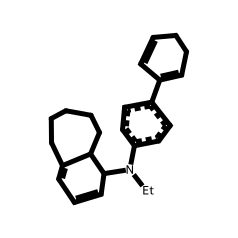 CCN(c1ccc(C2=CCCC=C2)cc1)C1C=CC=C2CCCCCC21